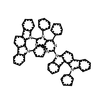 c1ccc(-c2nc(-n3c4ccccc4c4c3ccc3c5ccccc5n(-c5ccccc5)c34)nc3nc(-n4c5ccccc5c5ccc6c7ccccc7n(-c7ccccc7)c6c54)n(-c4ccccc4)c23)cc1